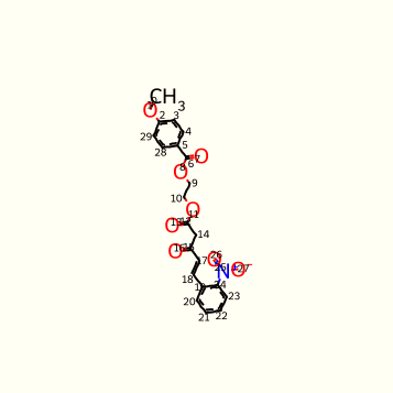 COc1ccc(C(=O)OCCOC(=O)CC(=O)C=Cc2ccccc2[N+](=O)[O-])cc1